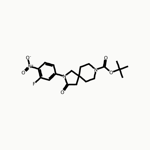 CC(C)(C)OC(=O)N1CCC2(CC1)CC(=O)N(c1ccc([N+](=O)[O-])c(F)c1)C2